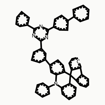 c1ccc(-c2ccc(-c3nc(-c4ccccc4)nc(-c4cccc(-c5ccc6c(c5)N(c5ccccc5)c5ccccc5C65c6ccccc6-c6ccccc65)c4)n3)cc2)cc1